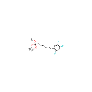 CCOC(CCCCCCc1cc(F)c(F)cc1F)(O[SiH3])OCC